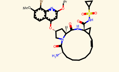 COc1ccc2c(O[C@@H]3C[C@H]4C(=O)N[C@]5(C(=O)NS(=O)(=O)C6CC6)CC5/C=C\CCCCC[C@H](N)C(=O)N4C3)cc(OC(C)C)nc2c1Br